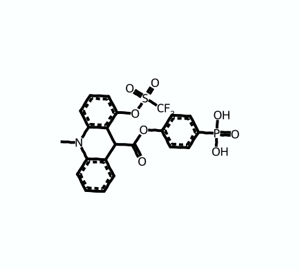 CN1c2ccccc2C(C(=O)Oc2ccc(P(=O)(O)O)cc2)c2c(OS(=O)(=O)C(F)(F)F)cccc21